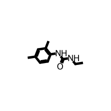 CCNC(=O)Nc1ccc(C)cc1C